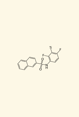 O=S(=O)(Nc1ccc(F)[c]([Ti])c1F)c1ccc2ccccc2c1